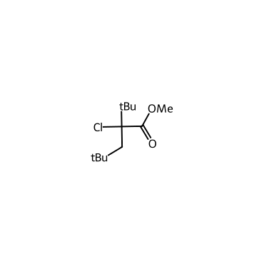 COC(=O)C(Cl)(CC(C)(C)C)C(C)(C)C